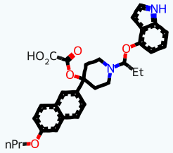 CCCOc1ccc2cc(C3(OC(=O)C(=O)O)CCN(C(CC)Oc4cccc5[nH]ccc45)CC3)ccc2c1